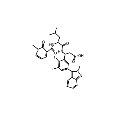 CC(C)C[C@H](NC(=O)c1cccn(C)c1=O)C(=O)NC(CC(=O)O)c1cc(-c2c3ccccc3nn2C)cc(F)c1F